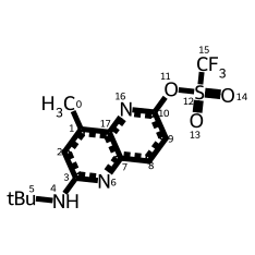 Cc1cc(NC(C)(C)C)nc2ccc(OS(=O)(=O)C(F)(F)F)nc12